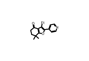 CCc1c(-c2ccncc2)oc2c1C(=O)CCC2(C)C